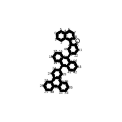 c1ccc2c(c1)ccc1oc3ccc(-c4c5ccccc5c(-c5ccc6c7ccccc7c7ccccc7c6c5)c5ccccc45)cc3c12